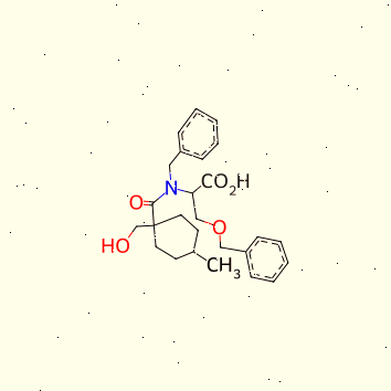 CC1CCC(CO)(C(=O)N(Cc2ccccc2)C(COCc2ccccc2)C(=O)O)CC1